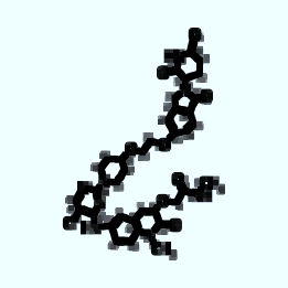 CNC(=O)COc1cc2cc(Nc3nc(N4CCC(OCCOc5ccc6c(c5)CN(C5CCC(=O)NC5=O)C6=O)CC4)ncc3Cl)ccc2n(C)c1=O